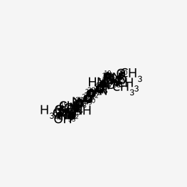 COC(=O)N[C@H](C(=O)N1CCC[C@H]1c1nc2ncc(-c3ccc4cc(-c5cnc6nc([C@H]7CCCN7C(=O)[C@@H](NC(=O)O)C(C)C)[nH]c6c5)ccc4c3)cc2[nH]1)C(C)C